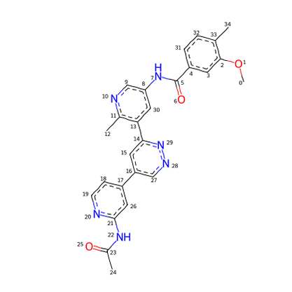 COc1cc(C(=O)Nc2cnc(C)c(-c3cc(-c4ccnc(NC(C)=O)c4)cnn3)c2)ccc1C